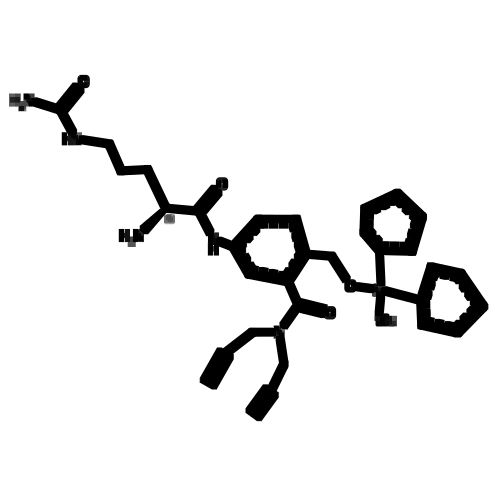 C#CCN(CC#C)C(=O)c1cc(NC(=O)[C@@H](N)CCCNC(N)=O)ccc1CO[Si](c1ccccc1)(c1ccccc1)C(C)(C)C